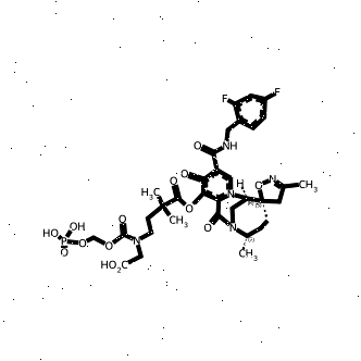 CC1=NO[C@@]2(CC[C@H](C)N3C[C@H]2n2cc(C(=O)NCc4ccc(F)cc4F)c(=O)c(OC(=O)C(C)(C)CCN(CC(=O)O)C(=O)OCOP(=O)(O)O)c2C3=O)C1